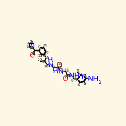 Cc1nc(N)ccc1CNC(=O)CNC(=O)CNCC(C)Cc1cccc(C(=O)N2CCC2)c1